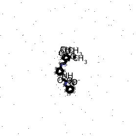 COc1cc(/C=C/c2cccc(NC(=O)/C=C/c3ccccc3[N+](=O)[O-])c2)cc(OC)c1OC